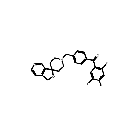 O=C(c1ccc(CN2CCC3(CC2)OCc2ccncc23)cc1)c1cc(F)c(F)cc1F